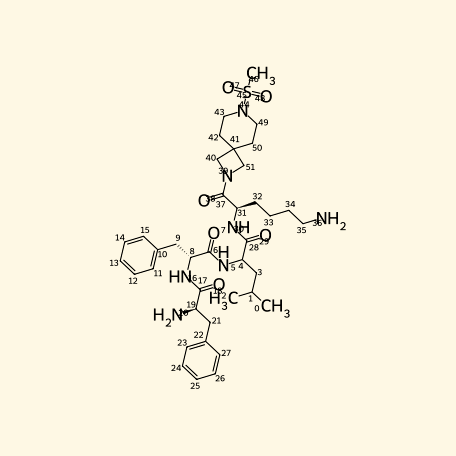 CC(C)CC(NC(=O)[C@@H](Cc1ccccc1)NC(=O)[C@H](N)Cc1ccccc1)C(=O)N[C@H](CCCCN)C(=O)N1CC2(CCN(S(C)(=O)=O)CC2)C1